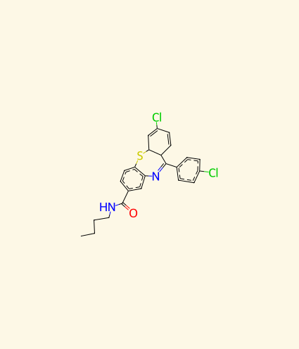 CCCCNC(=O)c1ccc2c(c1)N=C(c1ccc(Cl)cc1)C1C=CC(Cl)=CC1S2